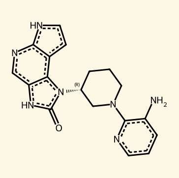 Nc1cccnc1N1CCC[C@@H](n2c(=O)[nH]c3cnc4[nH]ccc4c32)C1